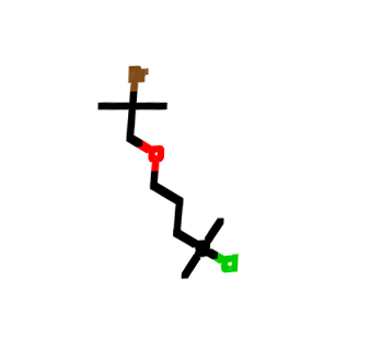 CC(C)(Br)COCCC[Si](C)(C)Cl